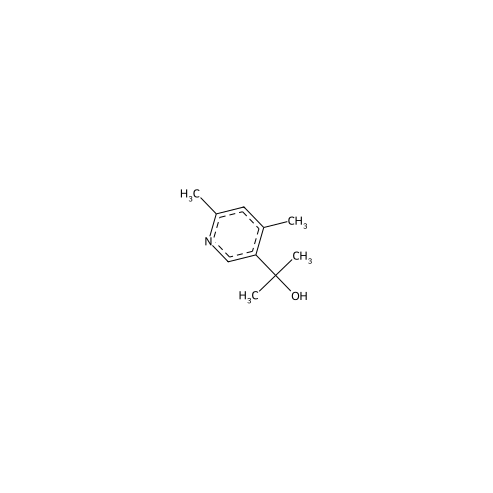 Cc1cc(C)c(C(C)(C)O)cn1